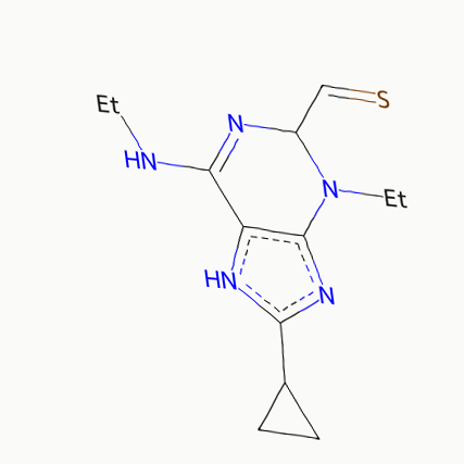 CCNC1=NC(C=S)N(CC)c2nc(C3CC3)[nH]c21